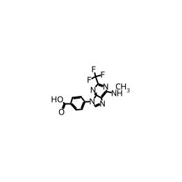 CNc1nc(C(F)(F)F)nc2c1ncn2-c1ccc(C(=O)O)cc1